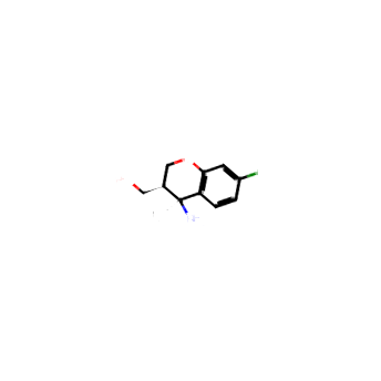 C[C@@]1(N)c2ccc(F)cc2OC[C@@H]1CO